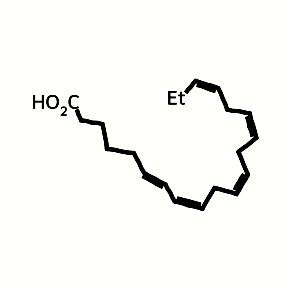 CC/C=C\C/C=C\C/C=C\C/C=C\C=C\CCCCC(=O)O